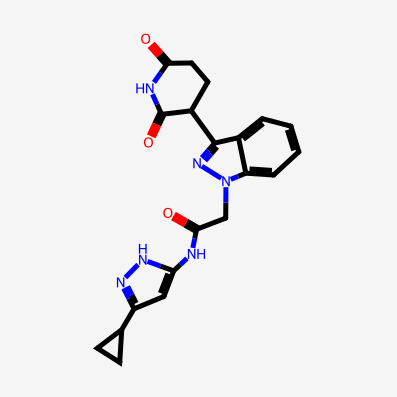 O=C1CCC(c2nn(CC(=O)Nc3cc(C4CC4)n[nH]3)c3ccccc23)C(=O)N1